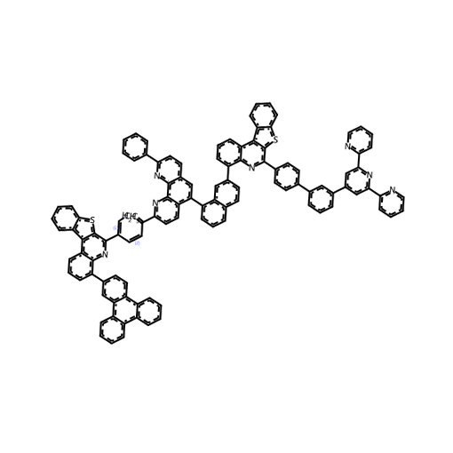 C=C(/C=C\C(=C/C)c1nc2c(-c3ccc4c5ccccc5c5ccccc5c4c3)cccc2c2c1sc1ccccc12)c1ccc2c(-c3cccc4ccc(-c5cccc6c5nc(-c5ccc(-c7cccc(-c8cc(-c9ccccn9)nc(-c9ccccn9)c8)c7)cc5)c5sc7ccccc7c56)cc34)cc3ccc(-c4ccccc4)nc3c2n1